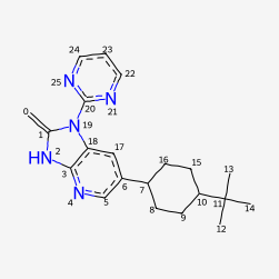 C=C1Nc2ncc(C3CCC(C(C)(C)C)CC3)cc2N1c1ncccn1